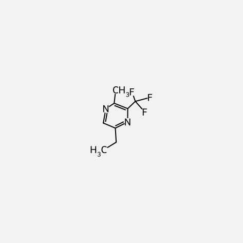 CCc1cnc(C)c(C(F)(F)F)n1